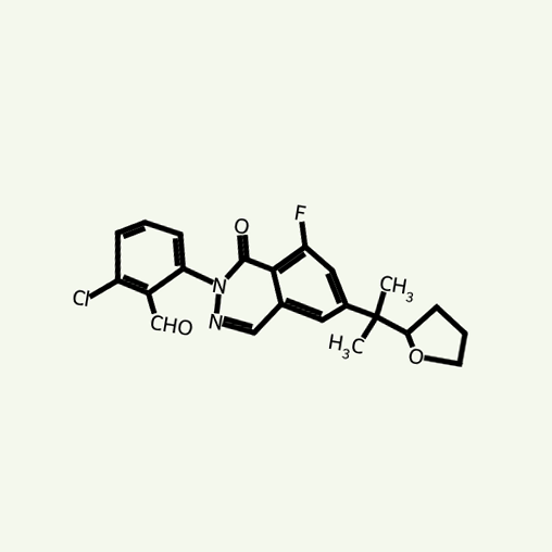 CC(C)(c1cc(F)c2c(=O)n(-c3cccc(Cl)c3C=O)ncc2c1)C1CCCO1